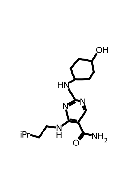 CC(C)CCNc1nc(NC2CCC(O)CC2)ncc1C(N)=O